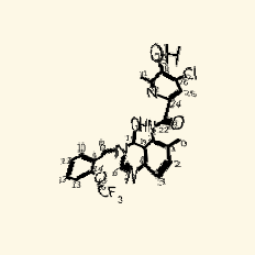 Cc1ccc2ncn(Cc3ccccc3OC(F)(F)F)c(=O)c2c1NC(=O)c1cc(Cl)c(O)c(C)n1